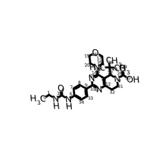 CCNC(=O)Nc1ccc(-c2nc3c(c(N4CCOCC4)n2)C(C(C)(C)C)N(C(=O)O)CC3)cc1